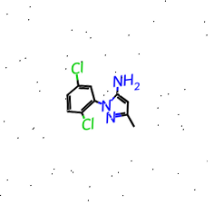 Cc1cc(N)n(-c2cc(Cl)ccc2Cl)n1